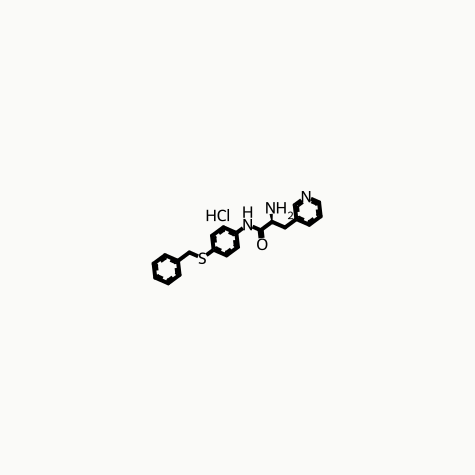 Cl.N[C@@H](Cc1cccnc1)C(=O)Nc1ccc(SCc2ccccc2)cc1